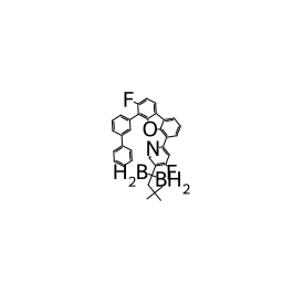 BC(B)(CC(C)(C)C)c1cnc(-c2cccc3c2oc2c(-c4cccc(-c5ccccc5)c4)c(F)ccc23)cc1F